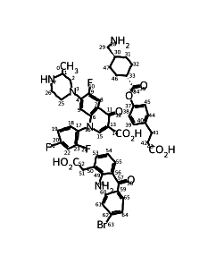 CC1CN(c2cc3c(cc2F)c(=O)c(C(=O)O)cn3-c2ccc(F)cc2F)CCN1.NC[C@H]1CC[C@H](C(=O)Oc2ccc(CCC(=O)O)cc2)CC1.Nc1c(CC(=O)O)cccc1C(=O)c1ccc(Br)cc1